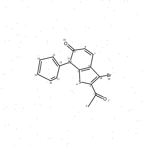 CC(=O)c1sc2c(ccc(=O)n2-c2ccccc2)c1Br